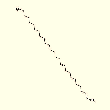 [CH2]CCCCCCCCCC=CCCCCCCCCCCCCCCC[CH2]